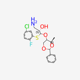 C[C@H]1OC(c2ccccc2)OCC1OC(Sc1cc(Cl)ccc1F)[C@@H](O)CN